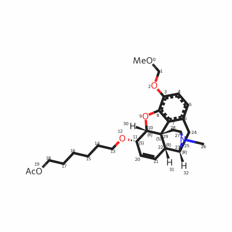 COCOc1ccc2c3c1O[C@H]1[C@@H](OCCCCCCOC(C)=O)C=C[C@H]4[C@@H](C2)N(C)CC[C@@]341